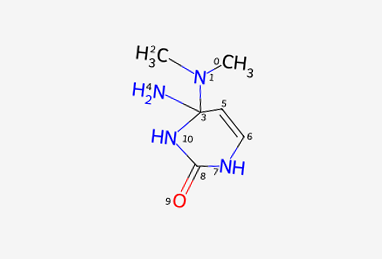 CN(C)C1(N)C=CNC(=O)N1